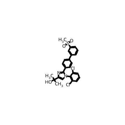 CC(C)(O)c1cn(-c2c(Cl)cccc2Cl)c(-c2ccc(-c3cccc(S(C)(=O)=O)c3)cc2)n1